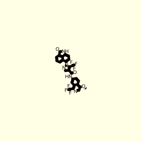 COc1cnc(C(F)(F)F)c2cc(NC(=O)c3cnn(-c4ccc5c6c(cccc46)C(=O)N5)c3C(F)(F)F)ccc12